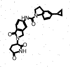 O=C1CCC(N2Cc3cc(NC(=O)N4CCc5cc(C6CC6)ccc54)ccc3C2=O)C(=O)N1